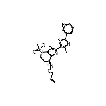 C=CCO/N=C1\CCN(S(C)(=O)=O)c2oc(-c3sc(-c4cccnc4)nc3C)nc21